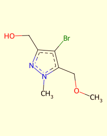 COCc1c(Br)c(CO)nn1C